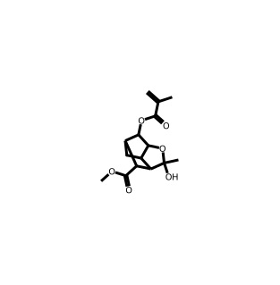 C=C(C)C(=O)OC1C2CC3C1OC(C)(O)C3C2C(=O)OC